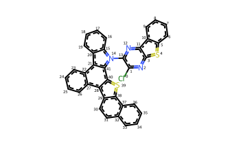 Clc1nc2sc3ccccc3c2nc1-n1c2ccccc2c2c3ccccc3c3c4ccc5ccccc5c4sc3c21